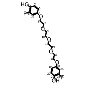 Oc1ccc(OCCOCCOCCOCCOc2ccc(O)c(F)c2)cc1F